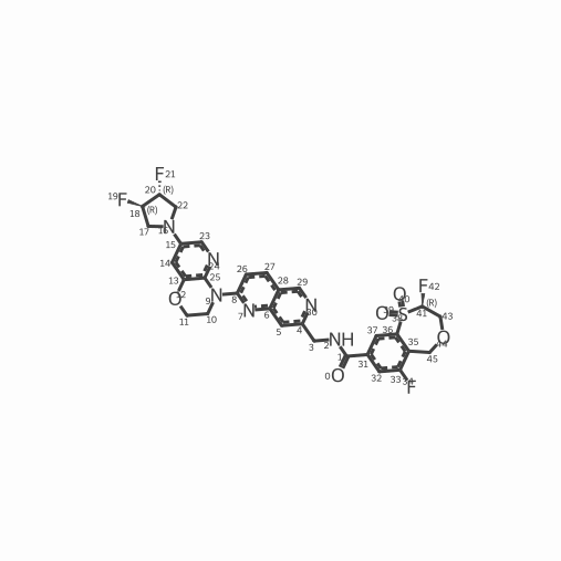 O=C(NCc1cc2nc(N3CCOc4cc(N5C[C@@H](F)[C@H](F)C5)cnc43)ccc2cn1)c1cc(F)c2c(c1)S(=O)(=O)[C@@H](F)COC2